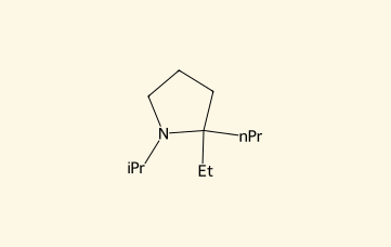 CCCC1(CC)CCCN1C(C)C